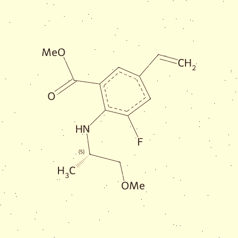 C=Cc1cc(F)c(N[C@@H](C)COC)c(C(=O)OC)c1